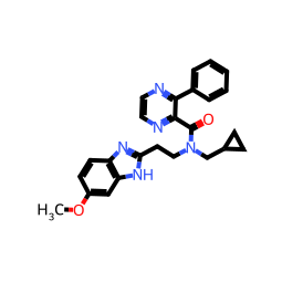 COc1ccc2nc(CCN(CC3CC3)C(=O)c3nccnc3-c3ccccc3)[nH]c2c1